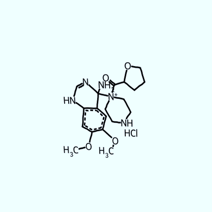 COc1cc2c(cc1OC)C(N)([N+]1(C(=O)C3CCCO3)CCNCC1)N=CN2.Cl